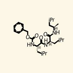 CC(C)C[C@@H](C)NC(=O)[C@@H](CC(C)C)NC(=O)[C@H](CC(C)C)NC(=O)OCc1ccccc1